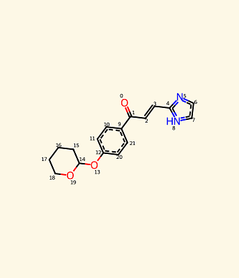 O=C(C=Cc1ncc[nH]1)c1ccc(OC2CCCCO2)cc1